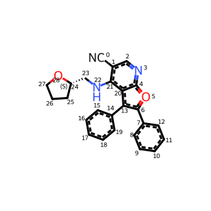 N#Cc1cnc2oc(-c3ccccc3)c(-c3ccccc3)c2c1NC[C@@H]1CCCO1